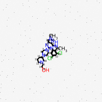 C[C@@H](Nc1nc(N2CCN([C@H]3CCCN(CCO)C3)CC2)nc2cn(C)nc12)c1ccc(Cl)cc1Cl